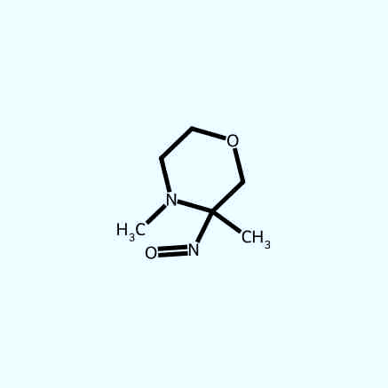 CN1CCOCC1(C)N=O